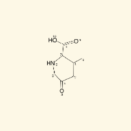 CC1CC(=O)CNC1C(=O)O